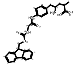 CC(CC(N)Cc1ccc(NC(=O)CNC(=O)OCC2c3ccccc3-c3ccccc32)cc1)C(=O)O